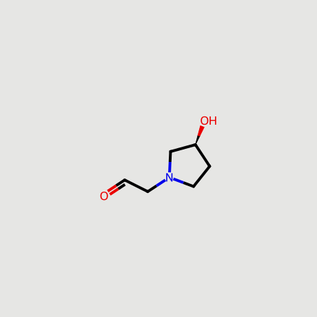 O=CCN1CC[C@H](O)C1